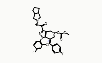 COC(=O)ON1C/C(=C\c2ccc(F)cc2)c2c(c(C(=O)NN3CC4CCCC4C3)nn2-c2ccc(Cl)cc2Cl)C1